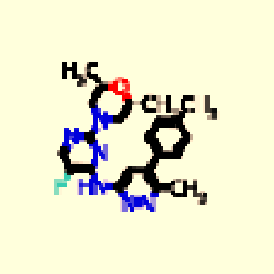 Cc1ccc(-c2cc(Nc3nc(N4C[C@@H](C)O[C@@H](C)C4)ncc3F)nnc2C)cc1